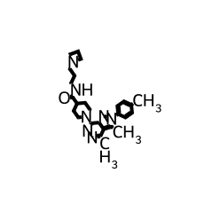 Cc1ccc(-n2nc3c(N4CCC(C(=O)NCCCN5CCC5)CC4)nnc(C)c3c2C)cc1